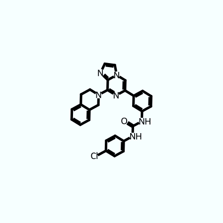 O=C(Nc1ccc(Cl)cc1)Nc1cccc(-c2cn3ccnc3c(N3CCc4ccccc4C3)n2)c1